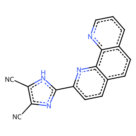 N#Cc1nc(-c2ccc3ccc4cccnc4c3n2)[nH]c1C#N